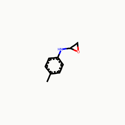 Cc1ccc(NC2CO2)cc1